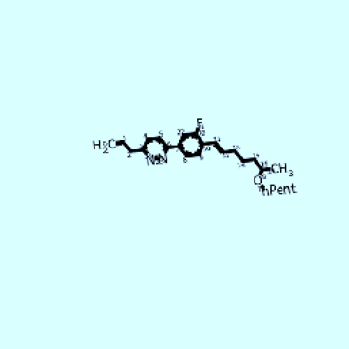 C=CCc1ccc(-c2ccc(/C=C/CCCC(C)OCCCCC)c(F)c2)nn1